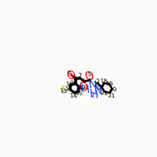 NC1(CNC(=O)c2cc(=O)c3cc(F)ccc3o2)CCCCC1